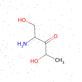 CC(O)C(=O)C(N)CO